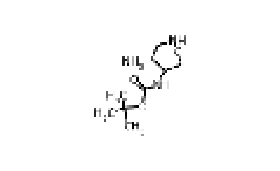 CC(C)(C)OC(=O)NC1CCNCC1.N